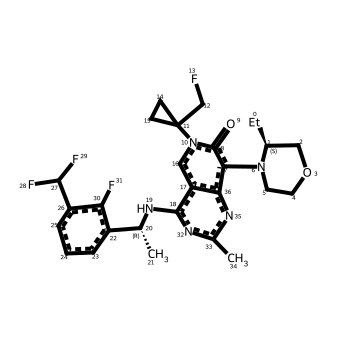 CC[C@H]1COCCN1c1c(=O)n(C2(CF)CC2)cc2c(N[C@H](C)c3cccc(C(F)F)c3F)nc(C)nc12